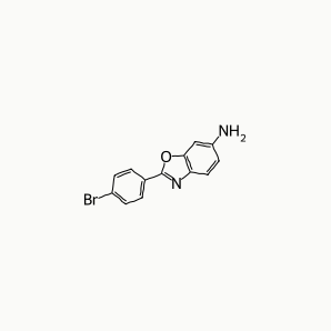 Nc1ccc2nc(-c3ccc(Br)cc3)oc2c1